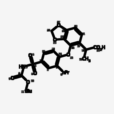 CCCc1cc(S(=O)(=O)NC(=O)OC(C)(C)C)ccc1Oc1c(C(C)C(=O)O)ccc2c1OCO2